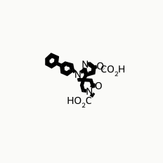 O=C(O)CN1CCC2(CC1=O)CN(c1ccc(-c3ccccc3)cc1)c1ncc(OC(=O)O)cc12